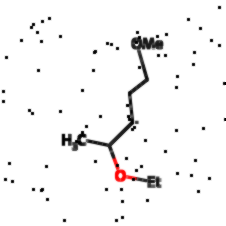 CCOC(C)[CH]CCOC